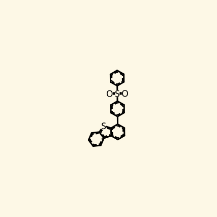 O=S(=O)(c1ccccc1)c1ccc(-c2cccc3c2sc2ccccc23)cc1